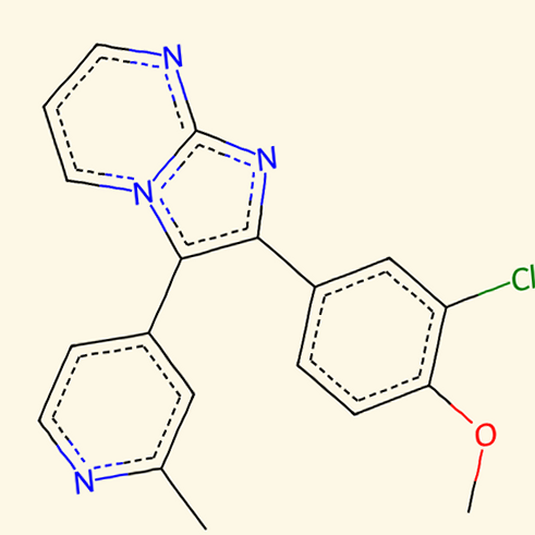 COc1ccc(-c2nc3ncccn3c2-c2ccnc(C)c2)cc1Cl